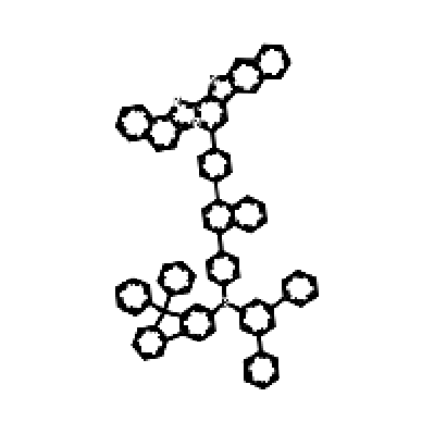 c1ccc(-c2cc(B(c3ccc(-c4ccc(-c5ccc(-c6cc7c8cc9ccccc9cc8sc7c7nc8c9ccccc9ccc8n67)cc5)c5ccccc45)cc3)c3ccc4c(c3)C(c3ccccc3)(c3ccccc3)c3ccccc3-4)cc(-c3ccccc3)c2)cc1